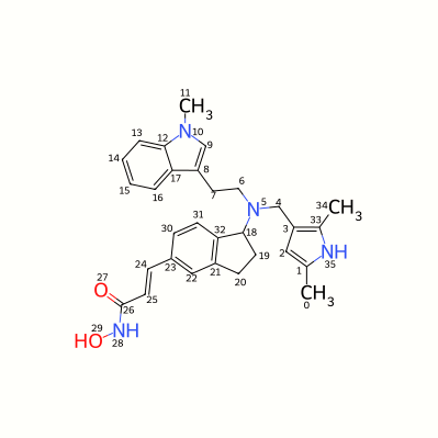 Cc1cc(CN(CCc2cn(C)c3ccccc23)C2CCc3cc(/C=C/C(=O)NO)ccc32)c(C)[nH]1